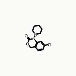 O=C1OCc2ccc(Cl)cc2N1N1CCCCC1